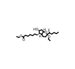 CCCCC(F)C1(OCC)CC[C@@H]2[C@@H](CCCCCCC(=O)OCC)[C@@H](O)C[C@H]2O1